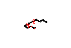 CC(=CCOC(=O)CCCCCC(=O)OCC=C(C)CCC[C@H](C)CCC[C@H](C)CCCC(C)C)CCC[C@H](C)CCC[C@H](C)CCCC(C)C